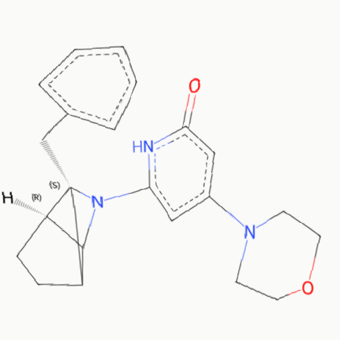 O=c1cc(N2CCOCC2)cc(N2C3C4CC[C@H]3[C@]42Cc2ccccc2)[nH]1